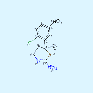 CC[C@@]1(c2cc([N+](=O)[O-])ccc2F)CCN=C(N)S1